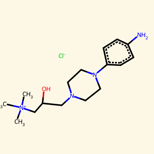 C[N+](C)(C)CC(O)CN1CCN(c2ccc(N)cc2)CC1.[Cl-]